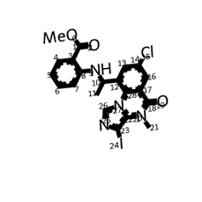 COC(=O)c1ccccc1NC(C)c1cc(Cl)cc2c(=O)n(C)c3c(I)ncn3c12